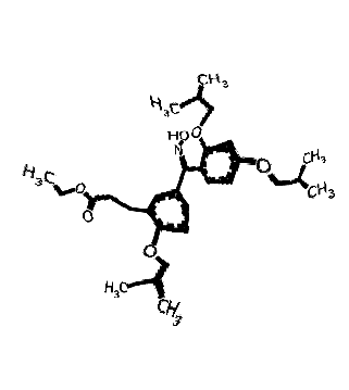 CCOC(=O)CCc1cc(C(=NO)c2ccc(OCC(C)C)cc2OCC(C)C)ccc1OCC(C)C